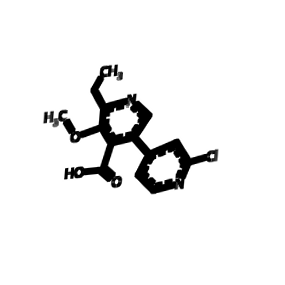 CCc1ncc(-c2ccnc(Cl)c2)c(C(=O)O)c1OC